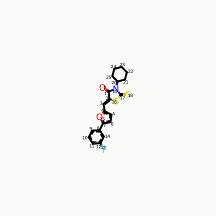 O=C1/C(=C/c2ccc(-c3cccc(F)c3)o2)SC(=S)N1C1CCCCC1